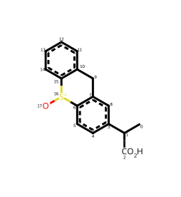 CC(C(=O)O)c1ccc2c(c1)Cc1ccccc1[S+]2[O-]